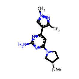 CN[C@@H]1CCN(c2cc(-c3cn(C)nc3C(F)(F)F)nc(N)n2)C1